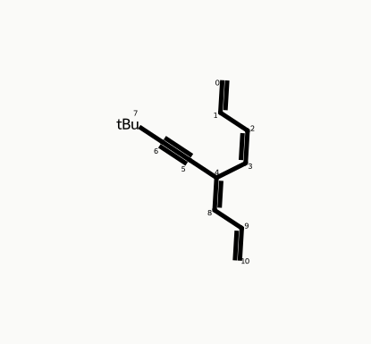 C=C/C=C\C(C#CC(C)(C)C)=C/C=C